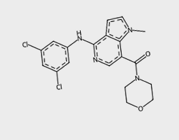 Cn1ccc2c(Nc3cc(Cl)cc(Cl)c3)ncc(C(=O)N3CCOCC3)c21